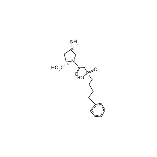 N[C@H]1C[C@@H](C(=O)O)N(C(=O)CP(=O)(O)CCCCc2ccccc2)C1